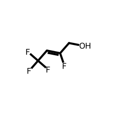 OCC(F)=CC(F)(F)F